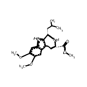 COC(=O)[C@@H]1Cc2c([nH]c3cc(OC)c(OC)cc23)[C@H](CC(C)C)N1